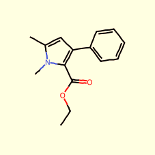 CCOC(=O)c1c(-c2ccccc2)cc(C)n1C